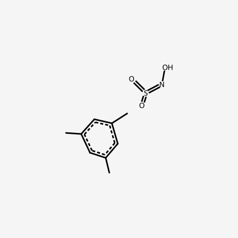 Cc1cc(C)cc(C)c1.O=S(=O)=NO